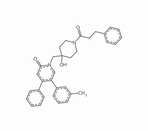 Cc1cccc(-c2cn(CC3(O)CCN(C(=O)CCc4ccccc4)CC3)c(=O)cc2-c2ccccc2)c1